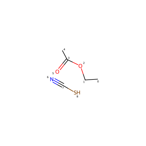 CCOC(C)=O.N#CS